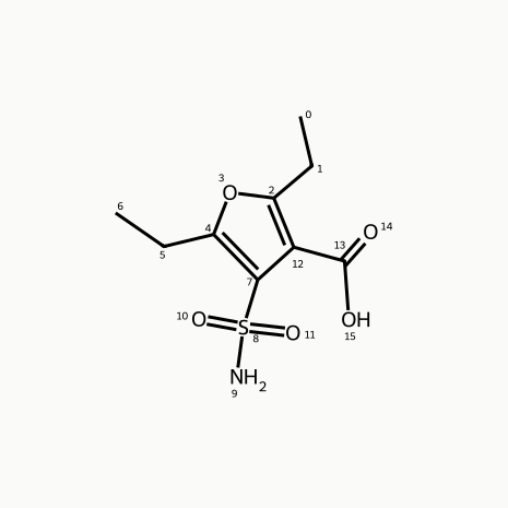 CCc1oc(CC)c(S(N)(=O)=O)c1C(=O)O